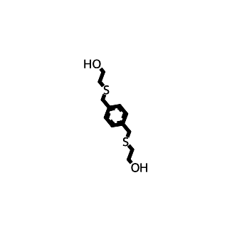 OCCSCc1ccc(CSCCO)cc1